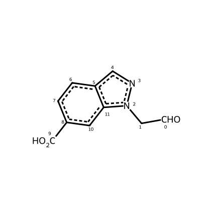 O=CCn1ncc2ccc(C(=O)O)cc21